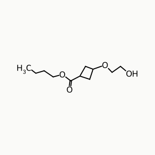 CCCCOC(=O)C1CC(OCCO)C1